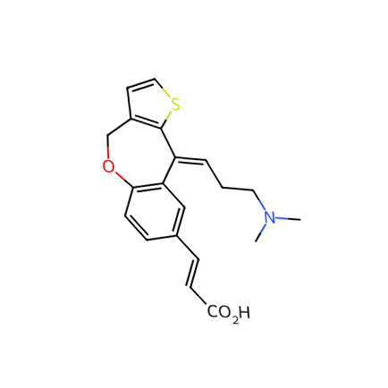 CN(C)CCC=C1c2cc(C=CC(=O)O)ccc2OCc2ccsc21